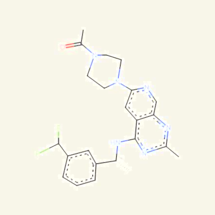 CC(=O)N1CCN(c2cc3c(N[C@H](C)c4cccc(C(F)F)c4)nc(C)nc3cn2)CC1